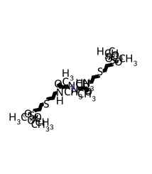 CO[Si](CCCSCCCNC(=O)C(C)(C)/N=N/C(C)(C)C(=O)NCCCSCCC[Si](OC)(OC)OC)(OC)OC